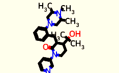 CC1CN(c2ccccc2CC2C(=O)N(c3cccnc3)CCC2C(C)(C)O)CC(C)N1C